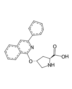 O=C(O)[C@@H]1C[C@@H](Oc2nc(-c3ccccc3)cc3ccccc23)CN1